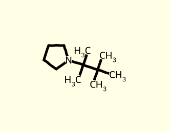 CC(C)(C)C(C)(C)N1CCCC1